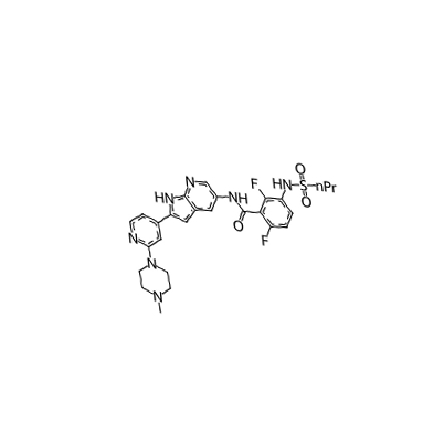 CCCS(=O)(=O)Nc1ccc(F)c(C(=O)Nc2cnc3[nH]c(-c4ccnc(N5CCN(C)CC5)c4)cc3c2)c1F